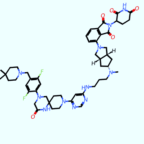 CN(CCCNc1cc(N2CCC3(CC2)CN(c2cc(F)c(CN4CCC(C)(C)CC4)cc2F)CC(=O)N3)ncn1)[C@@H]1C[C@@H]2CN(c3cccc4c3C(=O)N(C3CCC(=O)NC3=O)C4=O)C[C@@H]2C1